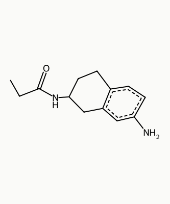 CCC(=O)NC1CCc2ccc(N)cc2C1